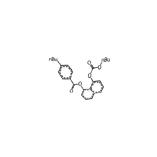 CCCCOC(=O)Oc1cccc2cccc(OC(=O)c3ccc(CCCC)cc3)c12